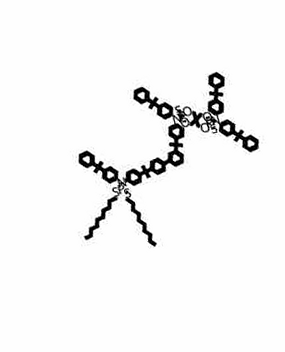 CCCCCCCCCCSP(SCCCCCCCCCC)N(c1ccc(C(C)(C)c2ccccc2)cc1)c1ccc(C(C)(C)c2ccc(-c3cccc(C(C)(C)c4ccc(N(c5ccc(C(C)(C)c6ccccc6)cc5)P5(=S)OCC6(COP(=S)(N(c7ccc(C(C)(C)c8ccccc8)cc7)c7ccc(C(C)(C)c8ccccc8)cc7)OC6)CO5)cc4)c3)cc2)cc1